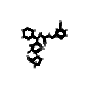 C[C@H](NC(=O)[C@@H](NC(=O)OCc1cccc(Cl)c1)C1CCCCC1)C(=O)[C@@H]1CCNC1=O